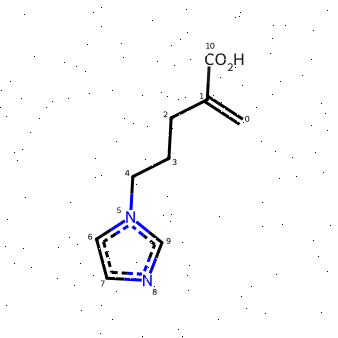 C=C(CCCn1ccnc1)C(=O)O